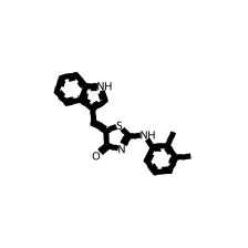 Cc1cccc(NC2=NC(=O)/C(=C/c3c[nH]c4ccccc34)S2)c1C